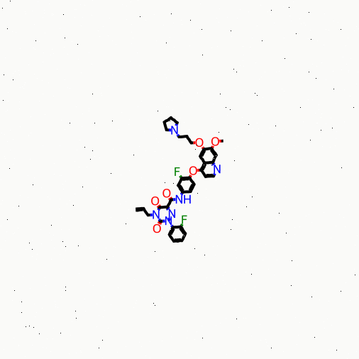 C=CCn1c(=O)c(C(=O)Nc2ccc(Oc3ccnc4cc(OC)c(OCCCN5CCCC5)cc34)c(F)c2)nn(-c2ccccc2F)c1=O